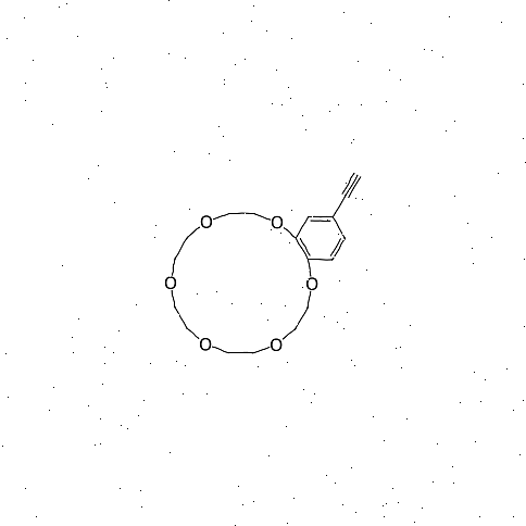 C#Cc1ccc2c(c1)OCCOCCOCCOCCOCCO2